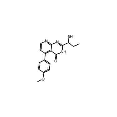 CCC(S)c1nc2nccc(-c3ccc(OC)cc3)c2c(=O)[nH]1